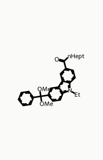 CCCCCCCC(=O)c1ccc2c(c1)c1cc(C(OC)(OC)c3ccccc3)ccc1n2CC